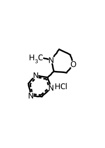 CN1CCOCC1c1ncncn1.Cl